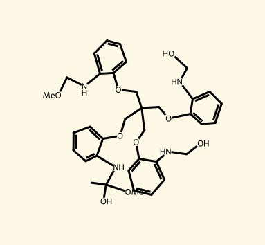 COCNc1ccccc1OCC(COc1ccccc1NCO)(COc1ccccc1NCO)COc1ccccc1NC(C)(O)OC